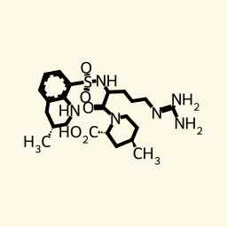 C[C@@H]1CCN(C(=O)C(CCCN=C(N)N)NS(=O)(=O)c2cccc3c2NC[C@H](C)C3)[C@@H](C(=O)O)C1